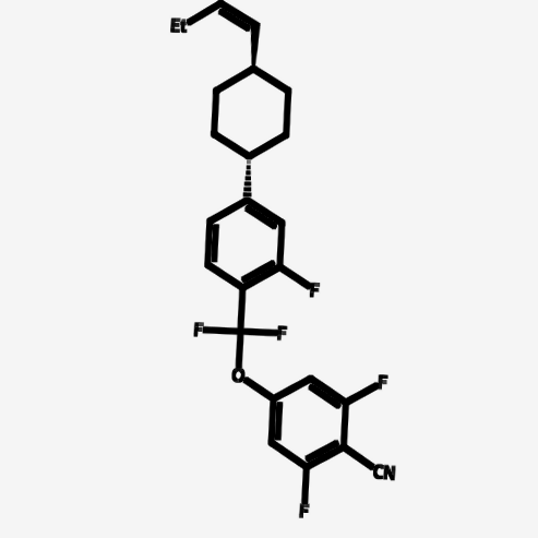 CC/C=C\[C@H]1CC[C@H](c2ccc(C(F)(F)Oc3cc(F)c(C#N)c(F)c3)c(F)c2)CC1